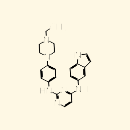 CCN1CCN(c2ccc(Nc3nccc(Nc4ccc5[nH]ccc5c4)n3)cc2)CC1